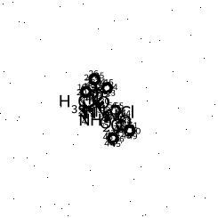 Cc1sc(N)nc1/C(=N/OC(c1ccccc1)(c1ccccc1)c1ccccc1)C(=O)N[C@H]1C(=O)N2C(C(=O)OC(c3ccccc3)c3ccccc3)=C(Cl)CCC12